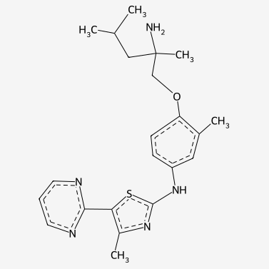 Cc1cc(Nc2nc(C)c(-c3ncccn3)s2)ccc1OCC(C)(N)CC(C)C